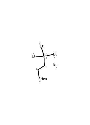 CCCCCCCC[N+](CC)(CC)CC.[Br-]